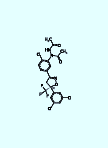 CC(=O)NN(C(C)=O)c1cc(C2=NO[C@](c3cc(Cl)cc(Cl)c3)(C(F)(F)F)C2)ccc1Cl